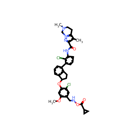 COc1cc(OC2CCc3c(-c4cccc(NC(=O)c5nn6c(c5C)CCN(C)C6)c4Cl)cccc32)c(Cl)cc1CNOC(=O)C1CC1